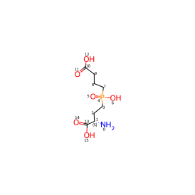 N[C@@H](CCP(=O)(O)CCCC(=O)O)C(=O)O